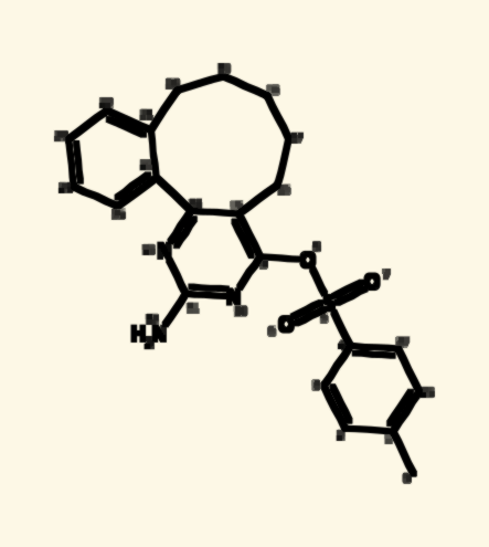 Cc1ccc(S(=O)(=O)Oc2nc(N)nc3c2CCCCCc2ccccc2-3)cc1